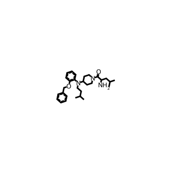 CC(C)CCN(c1ccccc1OCc1ccccc1)C1CCN(C(=O)C(N)CC(C)C)CC1